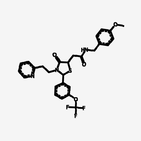 COc1ccc(CNC(=O)CC2SC(c3cccc(OC(F)(F)F)c3)N(CCc3ccccn3)C2=O)cc1